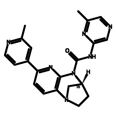 Cc1cc(-c2ccc3c(n2)N(C(=O)Nc2cncc(C)n2)[C@H]2CCN3C2)ccn1